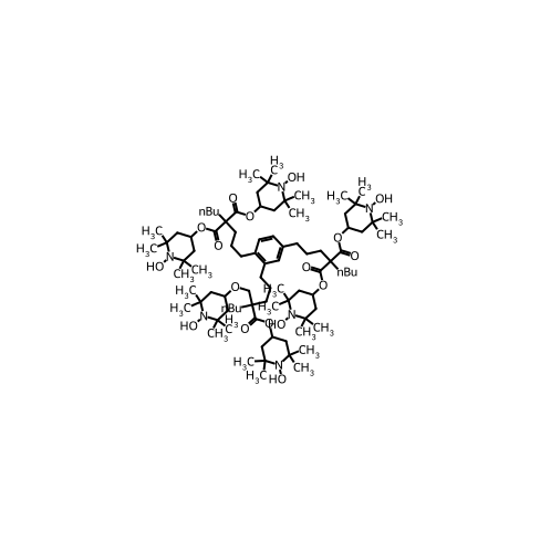 CCCCC(CCCc1cc(CCCC(CCCC)(C(=O)OC2CC(C)(C)N(O)C(C)(C)C2)C(=O)OC2CC(C)(C)N(O)C(C)(C)C2)ccc1CCCC(CCCC)(C(=O)OC1CC(C)(C)N(O)C(C)(C)C1)C(=O)OC1CC(C)(C)N(O)C(C)(C)C1)(COC1CC(C)(C)N(O)C(C)(C)C1)C(=O)OC1CC(C)(C)N(O)C(C)(C)C1